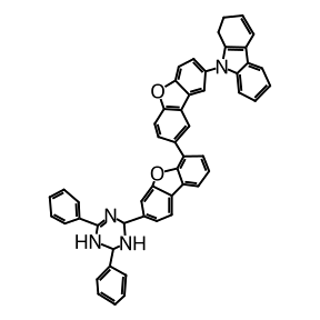 C1=Cc2c(n(-c3ccc4oc5ccc(-c6cccc7c6oc6cc(C8N=C(c9ccccc9)NC(c9ccccc9)N8)ccc67)cc5c4c3)c3ccccc23)CC1